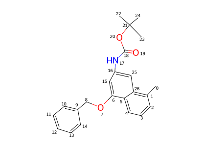 Cc1cccc2c(OCc3ccccc3)cc(NC(=O)OC(C)(C)C)cc12